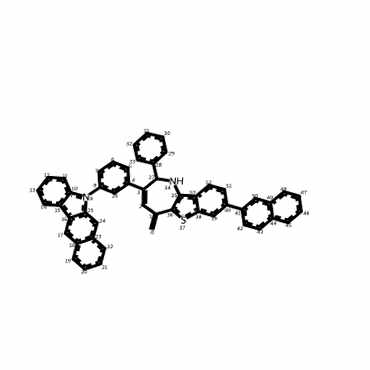 C=C1C=C(c2cccc(-n3c4ccccc4c4cc5ccccc5cc43)c2)C(c2ccccc2)Nc2c1sc1cc(-c3ccc4ccccc4c3)ccc21